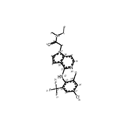 CCN(C)C(=O)Cn1ccc2c(Nc3c(C)cc(Cl)cc3C(F)(F)F)nccc21